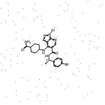 CCn1ncc2c(NC3CCC(C(N)=O)CC3)c(C(=O)N[C@H](C)c3ccc(Br)cc3)cnc21